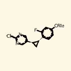 COc1ccc([C@@H]2C[C@H]2c2cnc(Cl)nc2)c(F)c1